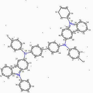 Cc1ccc(N(c2ccc(-c3ccc(N(c4ccc(C)cc4)c4ccc5c(c4)c4ccccc4n5-c4ccccc4)cc3)cc2)c2ccc3c(c2)c2ccccc2n3C2=CC=CCC2)cc1